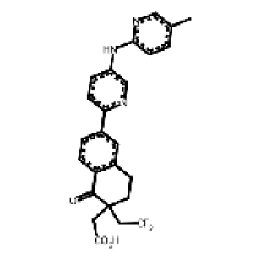 Cc1ccc(Nc2ccc(-c3ccc4c(c3)CCC(CC(=O)O)(CC(F)(F)F)C4=O)nc2)nc1